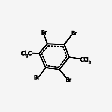 ClC(Cl)(Cl)c1c(Br)c(Br)c(C(Cl)(Cl)Cl)c(Br)c1Br